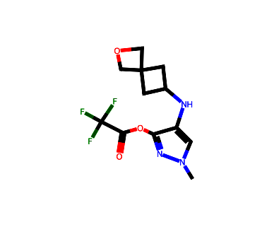 Cn1cc(NC2CC3(COC3)C2)c(OC(=O)C(F)(F)F)n1